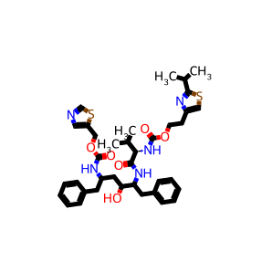 CC(C)c1nc(CCOC(=O)N[C@H](C(=O)NC(Cc2ccccc2)C(O)CC(Cc2ccccc2)NC(=O)OCc2cncs2)C(C)C)cs1